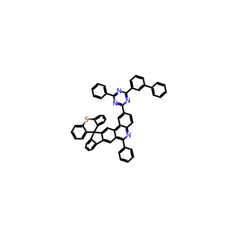 c1ccc(-c2cccc(-c3nc(-c4ccccc4)nc(-c4ccc5nc(-c6ccccc6)c6cc7c(cc6c5c4)C4(c5ccccc5Sc5ccccc54)c4ccccc4-7)n3)c2)cc1